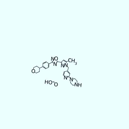 Cc1cc(-c2nc(-c3ccc(C4CCOCC4)cc3)no2)nn1Cc1ccnc(N2CCNCC2)c1.O=CO